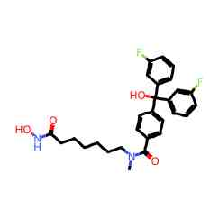 CN(CCCCCCC(=O)NO)C(=O)c1ccc(C(O)(c2cccc(F)c2)c2cccc(F)c2)cc1